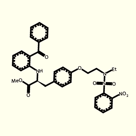 CCN(CCOc1ccc(C[C@H](Nc2ccccc2C(=O)c2ccccc2)C(=O)OC)cc1)S(=O)(=O)c1ccccc1[N+](=O)[O-]